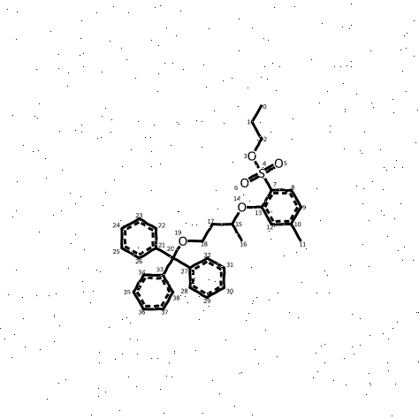 CCCOS(=O)(=O)c1ccc(C)cc1OC(C)CCOC(c1ccccc1)(c1ccccc1)c1ccccc1